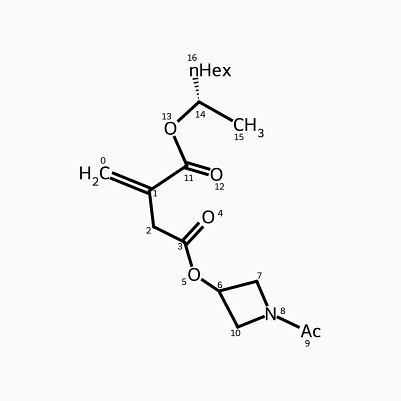 C=C(CC(=O)OC1CN(C(C)=O)C1)C(=O)O[C@@H](C)CCCCCC